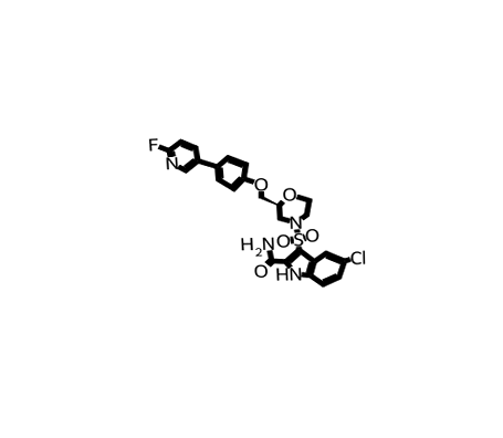 NC(=O)c1[nH]c2ccc(Cl)cc2c1S(=O)(=O)N1CCO[C@H](COc2ccc(-c3ccc(F)nc3)cc2)C1